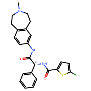 CN1CCc2ccc(NC(=O)[C@H](NC(=O)c3ccc(Cl)s3)c3ccccc3)cc2CC1